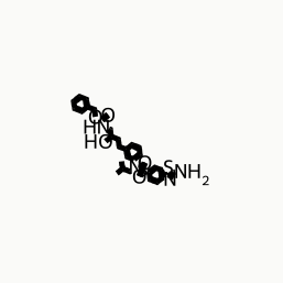 CC(C)CN(c1cccc(CCC(O)CNC(=O)OCc2ccccc2)c1)S(=O)(=O)c1ccc2nc(N)sc2c1